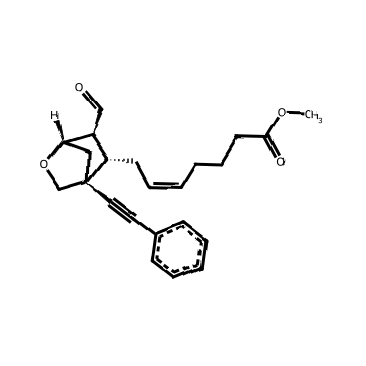 COC(=O)CCC/C=C\C[C@H]1[C@H](C=O)[C@@H]2C[C@@]1(C#Cc1ccccc1)CO2